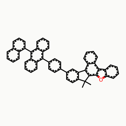 CC1(C)c2ccc(-c3ccc(-c4c5ccccc5c(-c5cccc6ccccc56)c5ccccc45)cc3)cc2-c2c1c1oc3ccccc3c1c1ccccc21